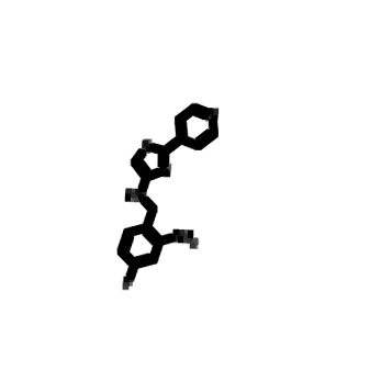 Nc1cc(F)ccc1CNc1csc(-c2ccncc2)n1